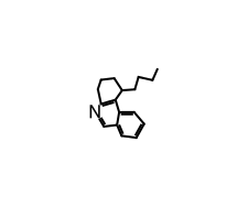 CCCCC1CCCc2ncc3ccccc3c21